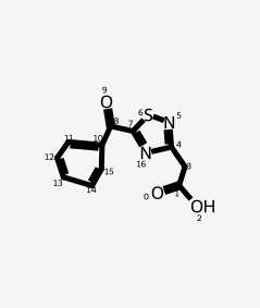 O=C(O)Cc1nsc(C(=O)c2ccccc2)n1